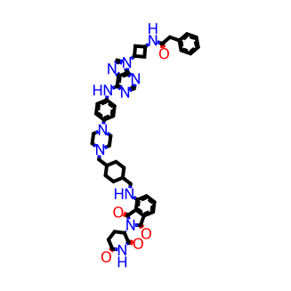 O=C1CC[C@H](N2C(=O)c3cccc(NCC4CCC(CN5CCN(c6ccc(Nc7ncnc8c7ncn8C7CC(NC(=O)Cc8ccccc8)C7)cc6)CC5)CC4)c3C2=O)C(=O)N1